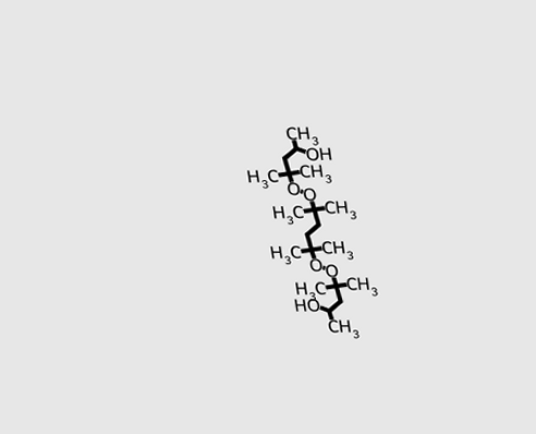 CC(O)CC(C)(C)OOC(C)(C)CCC(C)(C)OOC(C)(C)CC(C)O